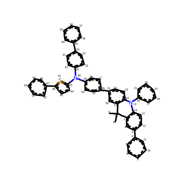 CC1(C)c2cc(-c3ccccc3)ccc2N(c2ccccc2)c2ccc(-c3ccc(N(c4ccc(-c5ccccc5)cc4)c4ccc(-c5ccccc5)s4)cc3)cc21